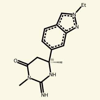 CCn1cc2ccc([C@]3(C)CC(=O)N(C)C(=N)N3)cc2n1